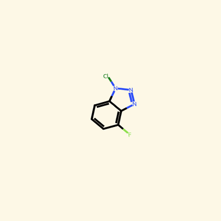 Fc1cccc2c1nnn2Cl